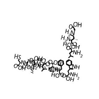 CC(C)C[C@H](N)C(=O)O.CC(C)[C@H](N)C(=O)O.CC[C@H](C)[C@H](N)C(=O)O.CSCC[C@H](N)C(=O)O.C[C@H](N)C(=O)O.NCC(=O)O.N[C@@H](CS)C(=O)O.N[C@@H](Cc1c[nH]c2ccccc12)C(=O)O.N[C@@H](Cc1ccccc1)C(=O)O.O=C(O)[C@@H]1CCCN1